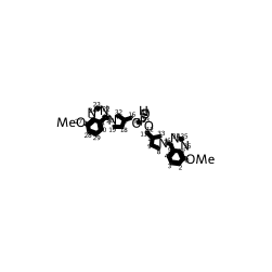 COc1cccc2c(N3CCC(CO[PH](=O)OCC4CCN(c5ncnc6c(OC)cccc56)C4)C3)ncnc12